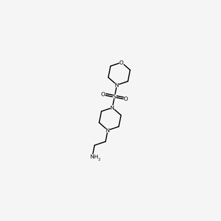 NCCN1CCN(S(=O)(=O)N2CCOCC2)CC1